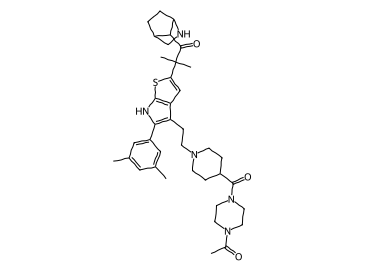 CC(=O)N1CCN(C(=O)C2CCN(CCc3c(-c4cc(C)cc(C)c4)[nH]c4sc(C(C)(C)C(=O)C5C6CCC5NC6)cc34)CC2)CC1